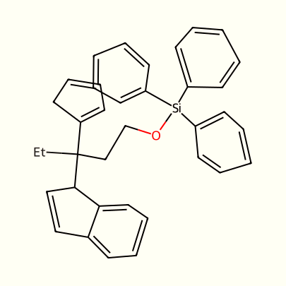 CCC(CCO[Si](c1ccccc1)(c1ccccc1)c1ccccc1)(C1=CC=CC1)C1C=Cc2ccccc21